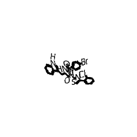 O=C(Nc1nc(-c2ccccc2Cl)cs1)C(Cc1c[nH]c2ccccc12)NS(=O)(=O)c1ccc(Br)cc1